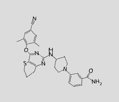 Cc1cc(C#N)cc(C)c1Oc1nc(NC2CCN(c3cccc(C(N)=O)c3)CC2)nc2c1SCCC2